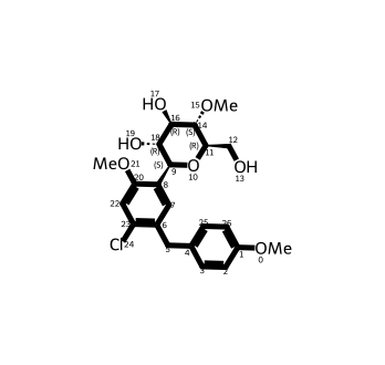 COc1ccc(Cc2cc([C@@H]3O[C@H](CO)[C@@H](OC)[C@H](O)[C@H]3O)c(OC)cc2Cl)cc1